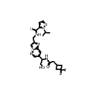 CC(C)n1nccc1C(=O)NCc1cn2ncc(C(CO)NC(=O)CC3CC(F)(F)C3)cc2n1